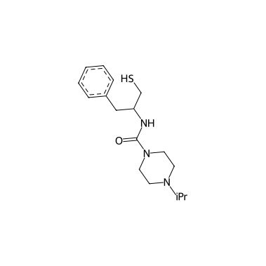 CC(C)N1CCN(C(=O)NC(CS)Cc2ccccc2)CC1